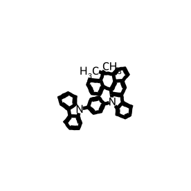 CC1(C)c2ccccc2-c2c3c1cccc3cc1c3ccccc3n(-c3ccc(-n4c5ccccc5c5ccccc54)cc3)c21